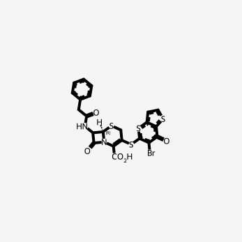 O=C(Cc1ccccc1)NC1C(=O)N2C(C(=O)O)=C(Sc3sc4ccsc4c(=O)c3Br)CS[C@H]12